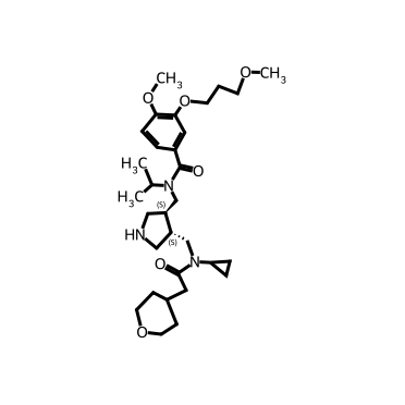 COCCCOc1cc(C(=O)N(C[C@@H]2CNC[C@H]2CN(C(=O)CC2CCOCC2)C2CC2)C(C)C)ccc1OC